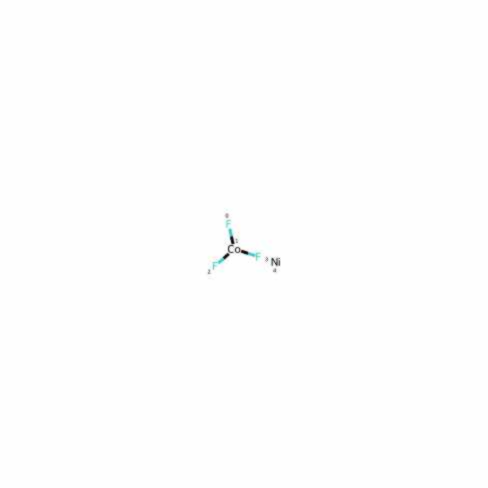 [F][Co]([F])[F].[Ni]